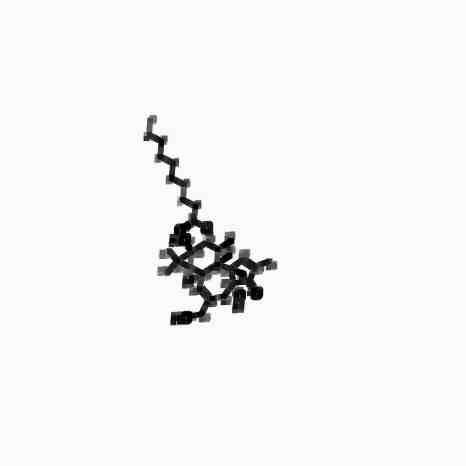 CCCCCCCCCC(=O)O[C@@H]1[C@@H](C)[C@@]2(C)[C@@H](C=C(CO)C[C@]3(O)C(=O)C(C)=C[C@@]23C)C2C(C)(C)[C@@]21O